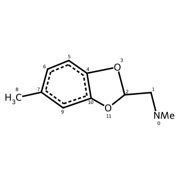 CNCC1Oc2ccc(C)cc2O1